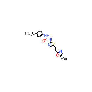 CC(C)(C)c1cnc(C=Cc2cnc(NC(=O)Nc3ccc(C(=O)O)cc3)s2)o1